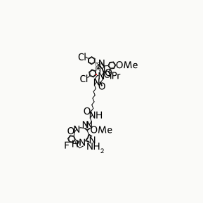 COc1ccc(C2=N[C@@H](c3ccc(Cl)cc3)[C@@H](c3ccc(Cl)cc3)N2C(=O)N2CCN(CCCCCCCCC(=O)NCCn3nc4c(c3OC)-c3cnc(N)c(c3)N3CCC[C@@H]3c3cc(F)ccc3C(=O)N(C)C4)C(=O)C2)c(OC(C)C)c1